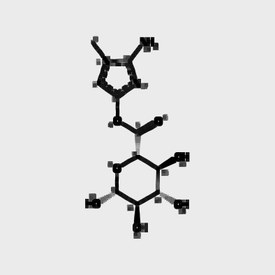 Cn1cc(OC(=O)[C@H]2O[C@@H](O)[C@H](O)[C@@H](O)[C@@H]2O)nc1N